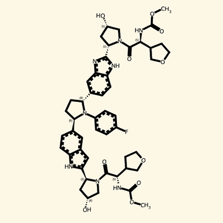 COC(=O)N[C@H](C(=O)N1C[C@H](O)C[C@H]1c1cc2cc([C@H]3CC[C@H](c4ccc5[nH]c([C@@H]6C[C@H](O)CN6C(=O)[C@@H](NC(=O)OC)C6CCOC6)nc5c4)N3c3ccc(F)cc3)ccc2[nH]1)C1CCOC1